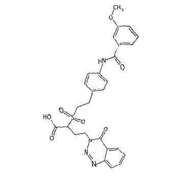 COc1cccc(C(=O)Nc2ccc(CCS(=O)(=O)C(CCn3nnc4ccccc4c3=O)C(=O)O)cc2)c1